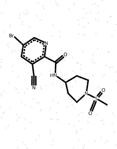 CS(=O)(=O)N1CCC(NC(=O)c2ncc(Br)cc2C#N)CC1